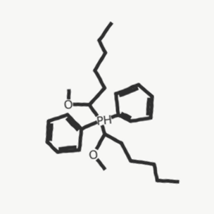 CCCCCC(OC)[PH](c1ccccc1)(c1ccccc1)C(CCCCC)OC